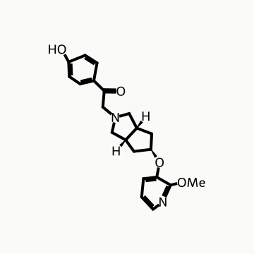 COc1ncccc1O[C@H]1C[C@@H]2CN(CC(=O)c3ccc(O)cc3)C[C@@H]2C1